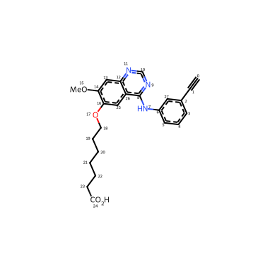 C#Cc1cccc(Nc2ncnc3cc(OC)c(OCCCCCCC(=O)O)cc23)c1